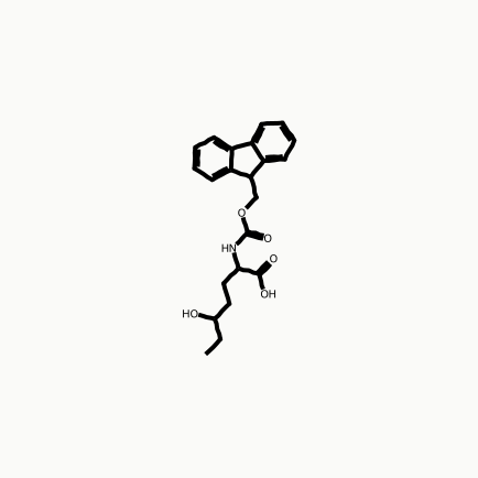 CCC(O)CCC(NC(=O)OCC1c2ccccc2-c2ccccc21)C(=O)O